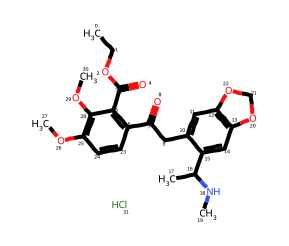 CCOC(=O)c1c(C(=O)Cc2cc3c(cc2C(C)NC)OCO3)ccc(OC)c1OC.Cl